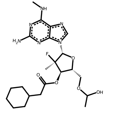 CNc1nc(N)nc2c1ncn2[C@@H]1O[C@H](COC(C)O)[C@@H](OC(=O)CC2CCCCC2)[C@@]1(C)F